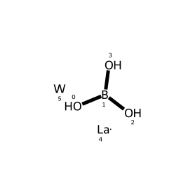 OB(O)O.[La].[W]